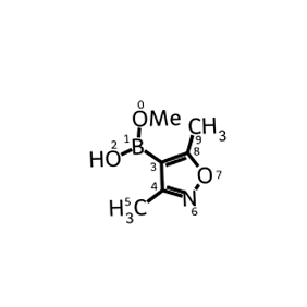 COB(O)c1c(C)noc1C